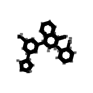 O=c1c2ccccc2c(-c2cc(Br)cc(-c3cnco3)c2)nn1-c1ccccc1Cl